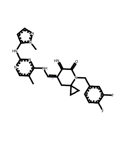 Cc1cnc(Nc2ccnn2C)nc1N/C=C1/CC2(CC2)N(Cc2ccc(F)c(F)c2)C(=O)C1=N